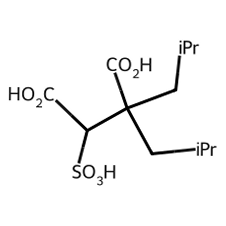 CC(C)CC(CC(C)C)(C(=O)O)C(C(=O)O)S(=O)(=O)O